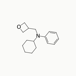 c1ccc(N(CC2COC2)C2CCCCC2)cc1